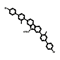 CCCCCCn1c2cc(-c3ccc(-c4ccc(Br)cc4)cc3C)ccc2c2ccc(-c3ccc(-c4ccc(Br)cc4)cc3C)cc21